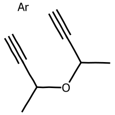 C#CC(C)OC(C)C#C.[Ar]